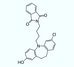 O=C1c2ccccc2C(=O)N1CCCCN1c2ccc(O)cc2CCc2ccc(Cl)cc21